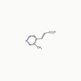 Cc1cnccc1/C=C/C(=O)O